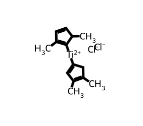 CC1=C(C)C[C]([Ti+2][C]2=C(C)C=CC2C)=C1.[Cl-].[Cl-]